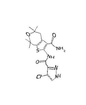 CC1(C)Cc2c(sc(NC(=O)c3n[nH]cc3Cl)c2C(N)=O)C(C)(C)O1